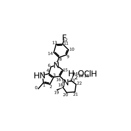 Cc1cc2c([nH]1)CN(c1ccc(F)cc1)C=C2N1[C@H](C)CCC[C@@H]1C.Cl.O